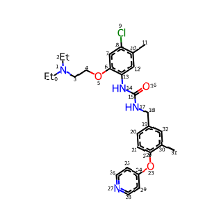 CCN(CC)CCOc1cc(Cl)c(C)cc1NC(=O)NCc1ccc(Oc2ccncc2)c(C)c1